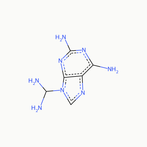 Nc1nc(N)c2ncn(C(N)N)c2n1